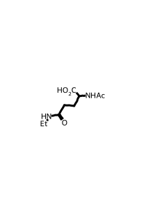 CCNC(=O)CCC(NC(C)=O)C(=O)O